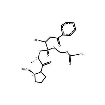 CCCCC(CC(=O)c1ccccc1)P(=O)(OCOC(=O)C(C)(C)C)O[C@@H](C)C(=O)N1CCC[C@H]1C(=O)O